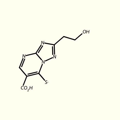 O=C(O)c1cnc2nc(CCO)nn2c1[S]